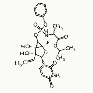 C=C[C@]1(O)[C@H](n2ccc(=O)[nH]c2=O)O[C@]2(F)C(OP(=O)(NC(C)C(=O)OC(C)C)Oc3ccccc3)[C@@]21O